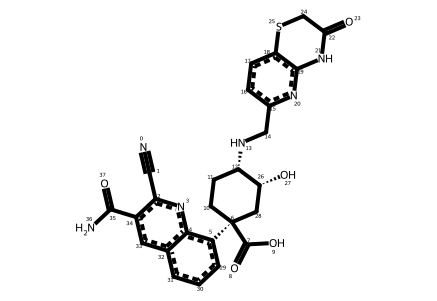 N#Cc1nc2c([C@]3(C(=O)O)CC[C@H](NCc4ccc5c(n4)NC(=O)CS5)[C@H](O)C3)cccc2cc1C(N)=O